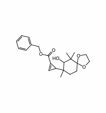 CC1(C2C=C2C(=O)OCc2ccccc2)CCC2(OCCO2)C(C)(C)C1O